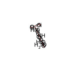 CC(C)(C)OC(=O)C(N)CCC(=O)NCCOCCOCC(=O)NCCOCCOCC(=O)NCCCc1cc(CO[Si](C)(C)C(C)(C)C)ccc1-c1ccc(CO[Si](C)(C)C(C)(C)C)cc1